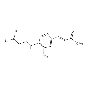 CCN(CC)CCNc1ccc(C=CC(=O)OC)cc1N